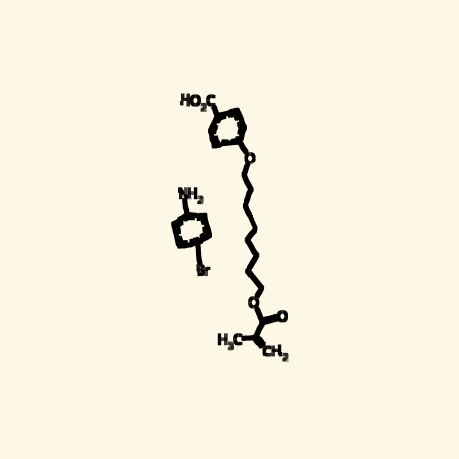 C=C(C)C(=O)OCCCCCCCCOc1ccc(C(=O)O)cc1.Nc1ccc(Br)cc1